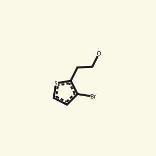 [O]CCc1sccc1Br